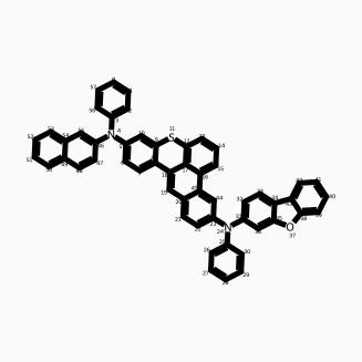 c1ccc(N(c2ccc3c(c2)Sc2cccc4c2c-3cc2ccc(N(c3ccccc3)c3ccc5c(c3)oc3ccccc35)cc24)c2ccc3ccccc3c2)cc1